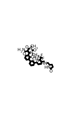 Cc1c(-c2cccc(-c3ccc(CNCC4CCC(=O)N4)c(C(F)(F)F)n3)c2Cl)cccc1-c1c(C(N)=O)c(=O)n(C)c(=O)n1C